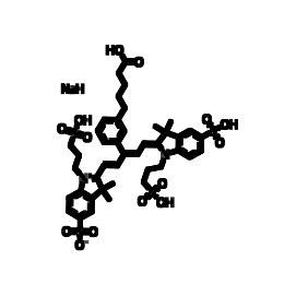 CC1(C)C(=CC=C(C=CC2=[N+](CCCS(=O)(=O)O)c3ccc(S(=O)(=O)[O-])cc3C2(C)C)c2cccc(CCCCC(=O)O)c2)N(CCCS(=O)(=O)O)c2ccc(S(=O)(=O)O)cc21.[NaH]